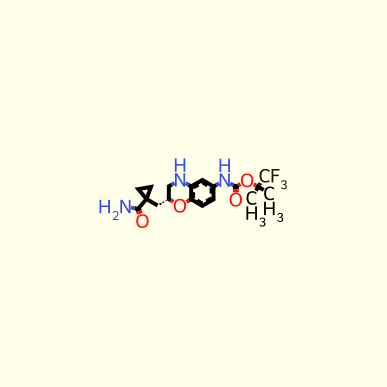 CC(C)(OC(=O)Nc1ccc2c(c1)NC[C@@H](CC1(C(N)=O)CC1)O2)C(F)(F)F